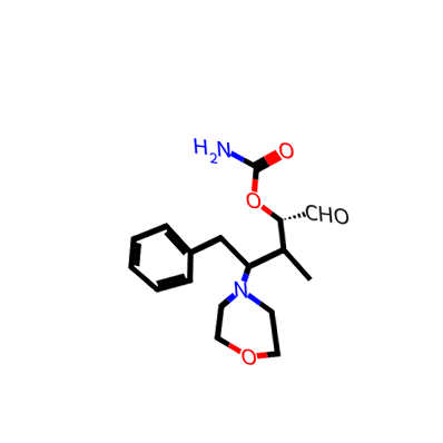 CC(C(Cc1ccccc1)N1CCOCC1)[C@@H](C=O)OC(N)=O